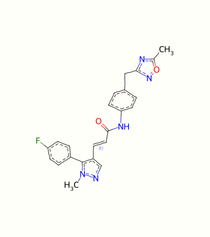 Cc1nc(Cc2ccc(NC(=O)/C=C/c3cnn(C)c3-c3ccc(F)cc3)cc2)no1